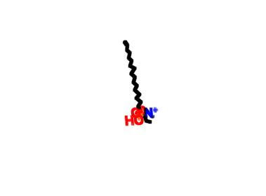 C=CCCCCCCCCCCCCCCCOP(=O)(O)C(CC)[N+](C)(C)C